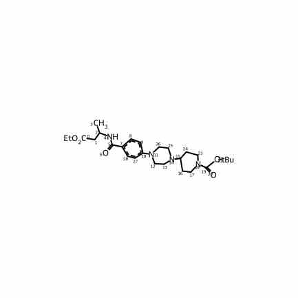 CCOC(=O)CC(C)NC(=O)c1ccc(N2CCN(C3CCN(C(=O)OC(C)(C)C)CC3)CC2)cc1